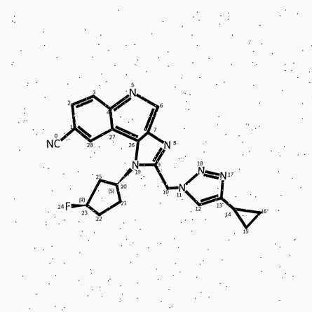 N#Cc1ccc2ncc3nc(Cn4cc(C5CC5)nn4)n([C@H]4CC[C@@H](F)C4)c3c2c1